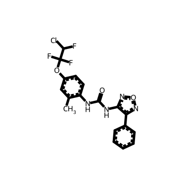 Cc1cc(OC(F)(F)C(F)Cl)ccc1NC(=O)Nc1nonc1-c1ccccc1